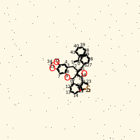 C(=C\[C@H]1c2cc3c(cc2O[C@H](c2ccccc2)c2c(-c4ccsc4)oc(-c4ccccc4)c21)OCO3)/c1ccccc1